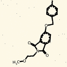 COCCN1C(=O)c2ccc(OCc3ccc(F)cc3)cc2C1=O